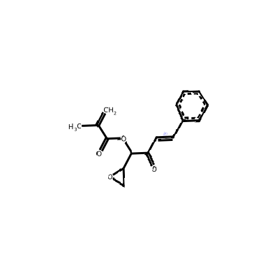 C=C(C)C(=O)OC(C(=O)/C=C/c1ccccc1)C1CO1